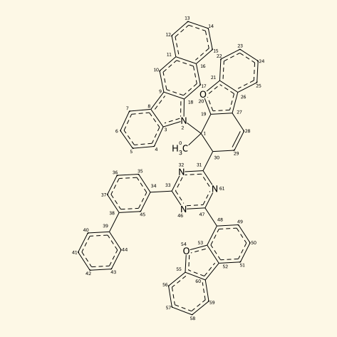 CC1(n2c3ccccc3c3cc4ccccc4cc32)c2oc3ccccc3c2C=CC1c1nc(-c2cccc(-c3ccccc3)c2)nc(-c2cccc3c2oc2ccccc23)n1